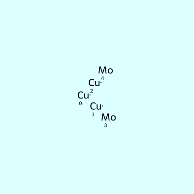 [Cu].[Cu].[Cu].[Mo].[Mo]